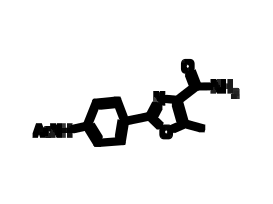 CC(=O)Nc1ccc(-c2nc(C(N)=O)c(C)o2)cc1